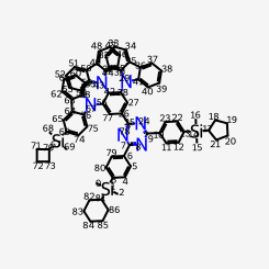 C[Si](C)(c1ccc(-c2nc(-c3ccc([Si](C)(C)C4CCCC4)cc3)nc(-c3cc(-n4c5ccccc5c5ccccc54)c(-n4c5ccccc5c5ccccc54)c(-n4c5ccccc5c5cc([Si](C)(C)C6CCC6)ccc54)c3)n2)cc1)C1CCCCC1